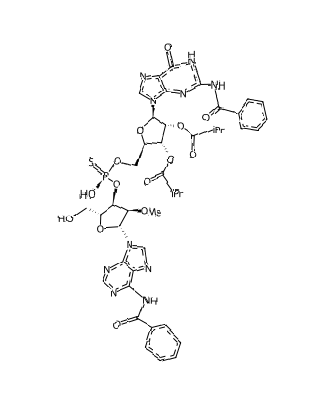 CO[C@@H]1[C@H](O[P@](O)(=S)OC[C@H]2O[C@@H](n3cnc4c(=O)[nH]c(NC(=O)c5ccccc5)nc43)[C@H](OC(=O)C(C)C)[C@@H]2OC(=O)C(C)C)[C@@H](CO)O[C@H]1n1cnc2c(NC(=O)c3ccccc3)ncnc21